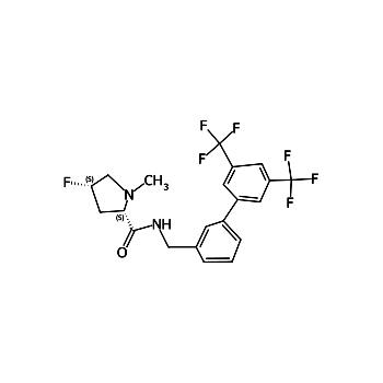 CN1C[C@@H](F)C[C@H]1C(=O)NCc1cccc(-c2cc(C(F)(F)F)cc(C(F)(F)F)c2)c1